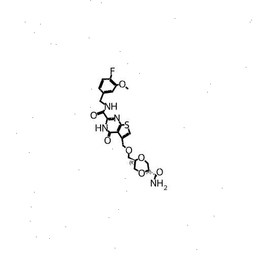 COc1cc(CNC(=O)c2nc3scc(COC[C@@H]4CO[C@@H](C(N)=O)CO4)c3c(=O)[nH]2)ccc1F